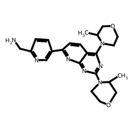 CC1COCCN1c1nc(N2CCOCC2C)c2ccc(-c3ccc(CN)nc3)nc2n1